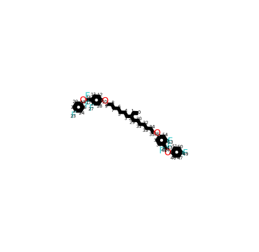 C=CC(CCCCCCCOc1ccc(C(F)(F)Oc2ccc(F)cc2)c(F)c1)CCCCCCCOc1ccc(C(F)(F)Oc2ccc(F)cc2)c(F)c1